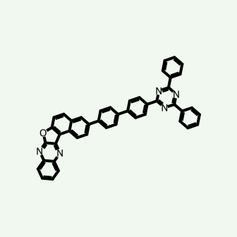 c1ccc(-c2nc(-c3ccccc3)nc(-c3ccc(-c4ccc(-c5ccc6c(ccc7oc8nc9ccccc9nc8c76)c5)cc4)cc3)n2)cc1